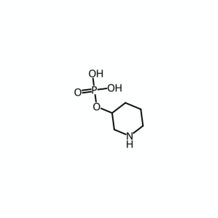 O=P(O)(O)OC1CCCNC1